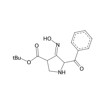 CC(C)(C)OC(=O)C1CNC(C(=O)c2ccccc2)C1=NO